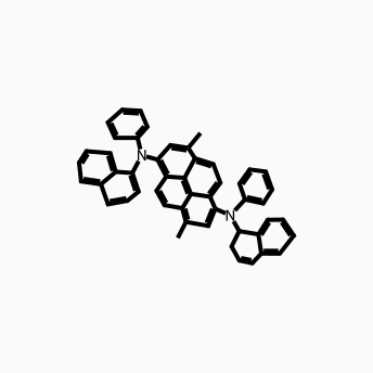 Cc1cc(N(c2ccccc2)c2cccc3ccccc23)c2ccc3c(C)cc(N(c4ccccc4)C4CC=Cc5ccccc54)c4ccc1c2c34